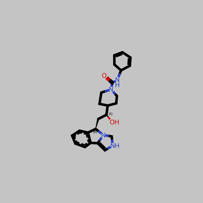 O=C(NC1C=CC=CC1)N1CCC([C@@H](O)C[C@@H]2c3ccccc3C3=CNCN32)CC1